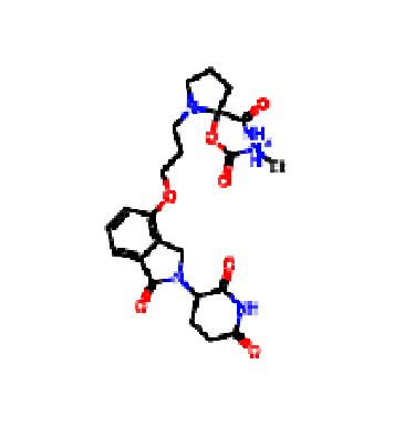 CCNC(=O)O[C@]1(C(N)=O)CCCN1CCCOc1cccc2c1CN(C1CCC(=O)NC1=O)C2=O